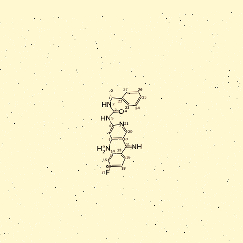 C[C@@H](NC(=O)Nc1cc(N)c(C(=N)c2ccc(F)cc2)cn1)c1ccccc1